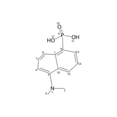 CN(C)c1cccc2c(P(=O)(O)O)[c]ccc12